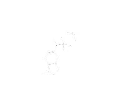 CCCC1(C(=O)c2ccc3c(ccn3C)c2)CCNCC1